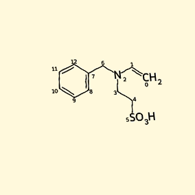 C=CN(CCS(=O)(=O)O)Cc1ccccc1